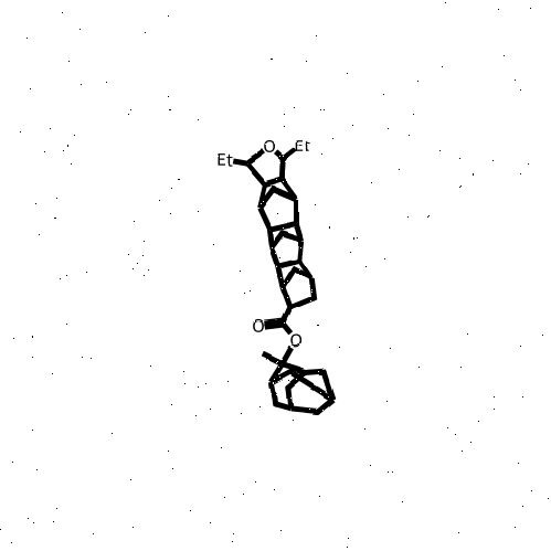 CCC1OC(CC)C2C3CC(C12)C1C2CC(C4C5CC(CC5C(=O)OC5(C)C6CC7CC(C6)CC5C7)C24)C31